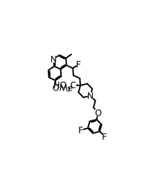 COc1ccc2ncc(C)c(C(F)CCC3(C(=O)O)CCN(CCOc4cc(F)cc(F)c4)CC3)c2c1